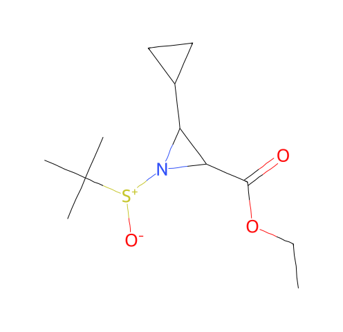 CCOC(=O)C1C(C2CC2)N1[S+]([O-])C(C)(C)C